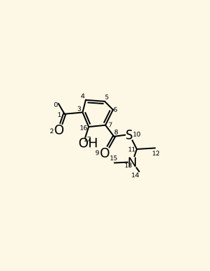 CC(=O)c1cccc(C(=O)SC(C)N(C)C)c1O